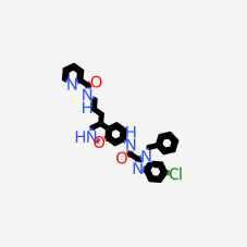 O=C(NCCCC1CNOc2cc(NC(=O)c3nc4ccc(Cl)cc4n3Cc3ccccc3)ccc21)c1ccccn1